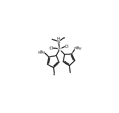 CCCCC1=CC(C)=C[CH]1[Zr]([Cl])([Cl])([CH]1C=C(C)C=C1CCCC)[SiH](C)C